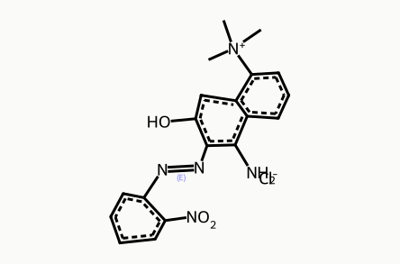 C[N+](C)(C)c1cccc2c(N)c(/N=N/c3ccccc3[N+](=O)[O-])c(O)cc12.[Cl-]